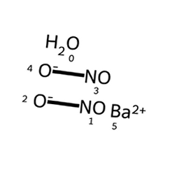 O.O=N[O-].O=N[O-].[Ba+2]